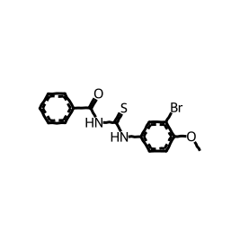 COc1ccc(NC(=S)NC(=O)c2ccccc2)cc1Br